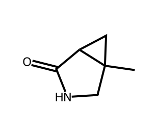 CC12CNC(=O)C1C2